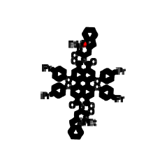 CCN(CC)C(=O)C(Cc1cc2ccccc2[nH]1)N1C(=O)c2cc(Oc3ccc(C(C)C)cc3)c3c4c(Oc5ccc(C(C)C)cc5)cc5c6c(cc(Oc7ccc(C(C)C)cc7)c(c7c(Oc8ccc(C(C)C)cc8)cc(c2c37)C1=O)c64)C(=O)N(C(Cc1cc2ccccc2[nH]1)C(=O)N(CC)CC)C5=O